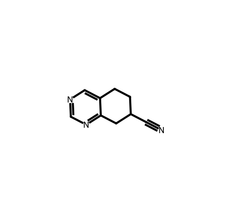 N#CC1CCc2cncnc2C1